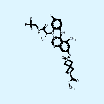 COC(=O)N1CC2(C1)CS(=O)(=Nc1cc(C)c3c(Nc4ccc(F)cc4O[C@H](C)C(=O)NCC(F)(F)F)ncnc3c1)C2